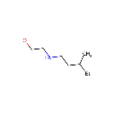 CCC(C)CCNCC[O]